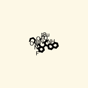 CC(C)(C)OC(=O)Nc1c(-c2ccc(F)c3nn(C4CCCCO4)cc23)c2ccc3ccccc3c2[nH]c1=O